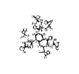 Cc1c(C(=O)N(CC2(C)CO2)CC2(C)CO2)cc(C(=O)N(CC2(C)CO2)CC2(C)CO2)cc1C(=O)N(CC1(C)CO1)CC1(C)CO1